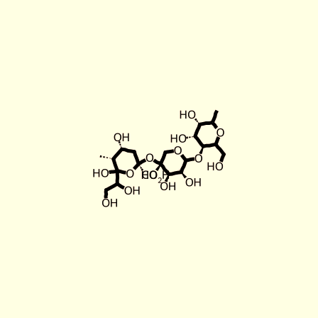 CC1OC(CO)[C@@H](OC2OC[C@@](O)(O[C@]3(C(=O)O)C[C@@H](O)[C@@H](C)C(O)(C(O)CO)O3)[C@H](O)[C@@H]2O)[C@H](O)[C@@H]1O